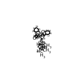 CC1(C)[C@@H]2C[C@H]3OB([C@H](Cc4coc5ccccc45)NS(=O)(=O)Cc4ccccc4-c4ccoc4)O[C@@]3(C)[C@H]1C2